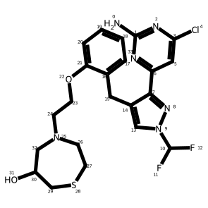 Nc1nc(Cl)cc(-c2nn(C(F)F)cc2Cc2ccccc2OCCN2CCSCC(O)C2)n1